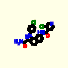 NC(=O)c1nn(-c2ccc(Cl)cc2)c2c1CCc1ccc(NC(=O)c3ccncc3Cl)cc1-2